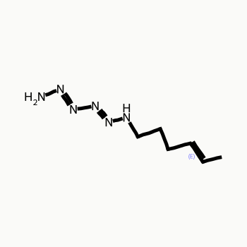 C/C=C/CCCNN=NN=NN